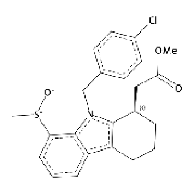 COC(=O)C[C@H]1CCCc2c1n(Cc1ccc(Cl)cc1)c1c([S+](C)[O-])cccc21